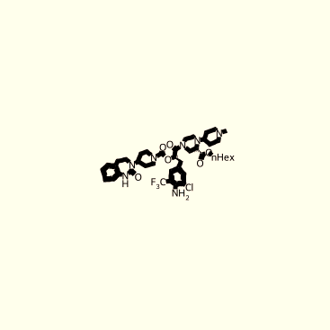 CCCCCCOC(=O)[C@@H]1CN(C(=O)[C@@H](Cc2cc(Cl)c(N)c(C(F)(F)F)c2)OC(=O)N2CCC(N3CCc4ccccc4NC3=O)CC2)CCN1C1CCN(C)CC1